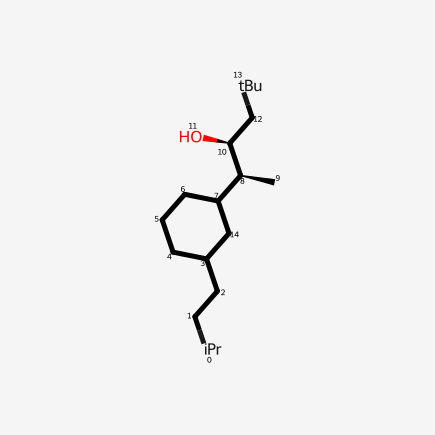 CC(C)CCC1CCCC([C@H](C)[C@@H](O)CC(C)(C)C)C1